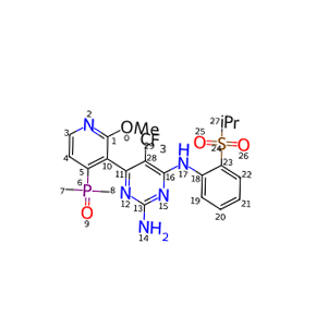 COc1nccc(P(C)(C)=O)c1-c1nc(N)nc(Nc2ccccc2S(=O)(=O)C(C)C)c1C(F)(F)F